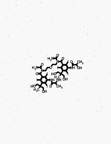 CC(O)C(=O)Nc1c(I)c(C(=O)N(CCOCCN(C(N)=O)C(=O)c2c(I)c(NC(=O)C(C)O)c(I)c(C(C)(CO)CO)c2I)C(N)=O)c(I)c(C(C)(CO)CO)c1I